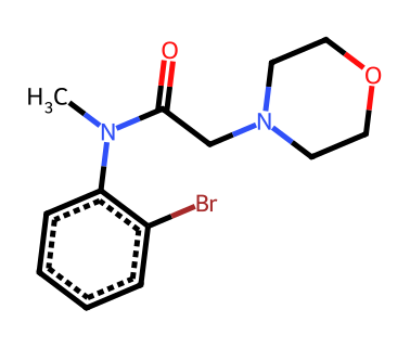 CN(C(=O)CN1CCOCC1)c1ccccc1Br